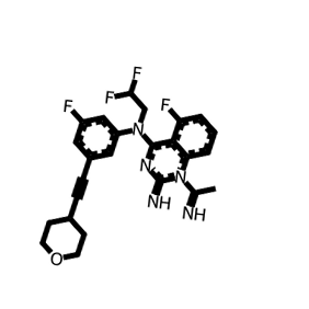 CC(=N)n1c(=N)nc(N(CC(F)F)c2cc(F)cc(C#CC3CCOCC3)c2)c2c(F)cccc21